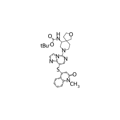 Cn1c(=O)cc(Sc2cnc(N3CCC4(CCOC4)C(NC(=O)OC(C)(C)C)C3)n3ccnc23)c2ccccc21